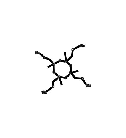 CC(C)(C)OC[Si]1(C)O[Si](C)(COC(C)(C)C)O[Si](C)(COC(C)(C)C)O[Si](C)(COC(C)(C)C)O1